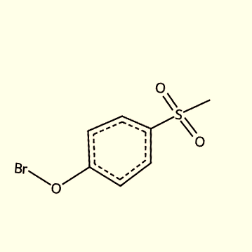 CS(=O)(=O)c1ccc(OBr)cc1